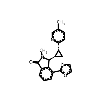 Cc1ccc([C@@H]2C[C@H]2C2c3c(cccc3-c3ncco3)C(=O)N2C)nc1